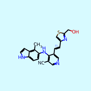 Cc1c(Nc2c(C#N)cncc2/C=C/c2csc(CO)n2)ccc2[nH]ccc12